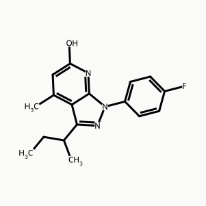 CCC(C)c1nn(-c2ccc(F)cc2)c2nc(O)cc(C)c12